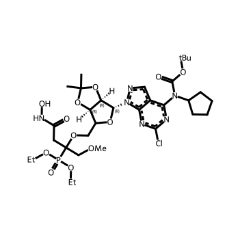 CCOP(=O)(OCC)C(COC)(CC(=O)NO)OCC1O[C@@H](n2ncc3c(N(C(=O)OC(C)(C)C)C4CCCC4)nc(Cl)nc32)[C@@H]2OC(C)(C)O[C@H]12